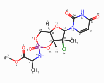 CC(C)OC(=O)[C@H](C)N[P@@]1(=O)OC[C@H]2O[C@@H](n3ccc(=O)[nH]c3=O)[C@](C)(Cl)[C@@H]2O1